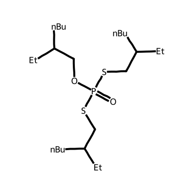 CCCCC(CC)COP(=O)(SCC(CC)CCCC)SCC(CC)CCCC